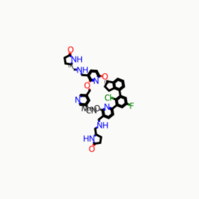 COc1nc(-c2cc(F)cc(-c3cccc4c3CC[C@@H]4Oc3ccc(CNC[C@@H]4CCC(=O)N4)c(OCc4cncc(C#N)c4)n3)c2Cl)ccc1CNCC1CCC(=O)N1